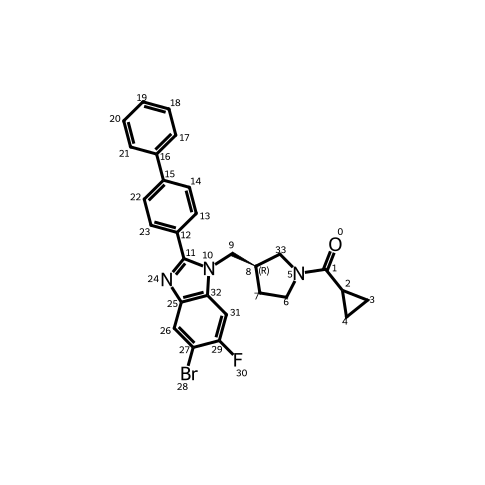 O=C(C1CC1)N1CC[C@@H](Cn2c(-c3ccc(-c4ccccc4)cc3)nc3cc(Br)c(F)cc32)C1